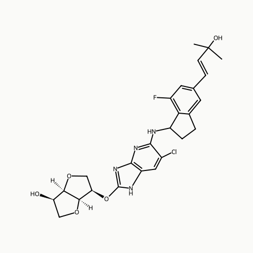 CC(C)(O)/C=C/c1cc(F)c2c(c1)CCC2Nc1nc2nc(O[C@@H]3CO[C@H]4[C@@H]3OC[C@H]4O)[nH]c2cc1Cl